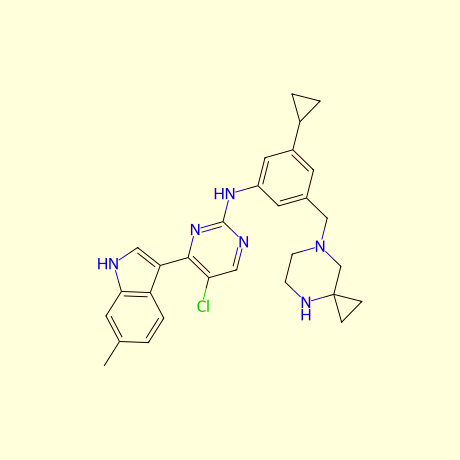 Cc1ccc2c(-c3nc(Nc4cc(CN5CCNC6(CC6)C5)cc(C5CC5)c4)ncc3Cl)c[nH]c2c1